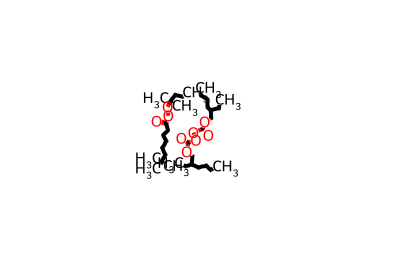 CCCC(C)(C)OOC(=O)CCCCCC(C)(C)C.CCCCC(CC)COC(=O)OOC(=O)OCC(CC)CCCC